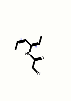 C/C=C\C(=C/C)NC(=O)CCl